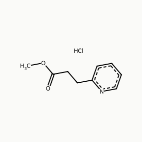 COC(=O)CCc1ccccn1.Cl